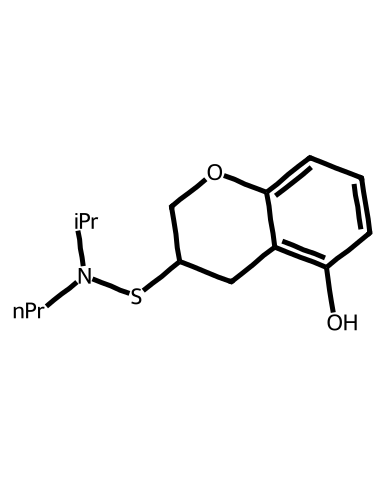 CCCN(SC1COc2cccc(O)c2C1)C(C)C